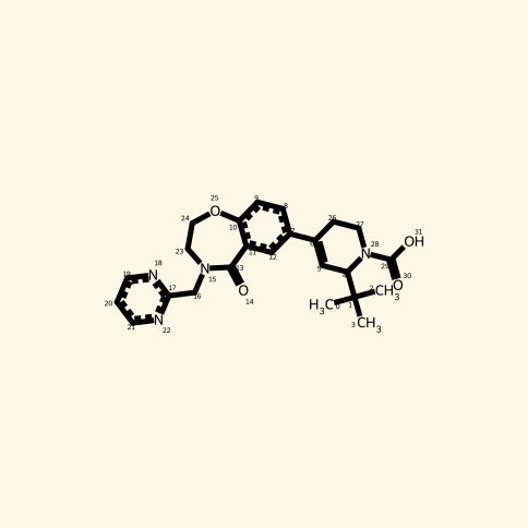 CC(C)(C)C1C=C(c2ccc3c(c2)C(=O)N(Cc2ncccn2)CCO3)CCN1C(=O)O